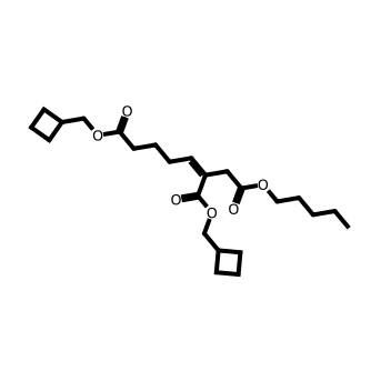 CCCCCOC(=O)C/C(=C/CCCC(=O)OCC1CCC1)C(=O)OCC1CCC1